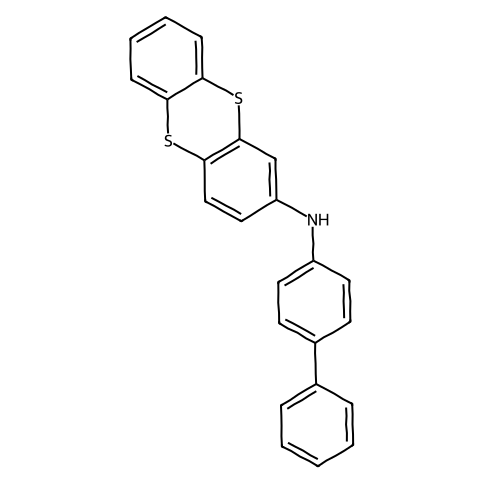 c1ccc(-c2ccc(Nc3ccc4c(c3)Sc3ccccc3S4)cc2)cc1